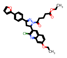 CCOC(=O)CCCC(=O)N1N=C(c2ccc(-c3ccco3)cc2)CC1c1cc2ccc(OCC)cc2nc1Cl